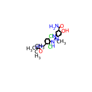 Cn1c(Nc2c(Cl)ccc(CNC(=O)C(C)(C)C)c2Cl)nc2cc(C(N)=O)c(O)cc21